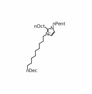 CCCCCCCCCCCCCCCCCCC[n+]1ccn(CCCCC)c1CCCCCCCC